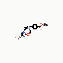 CC(C)(C)OC(=O)c1ccc(CN2CCOc3nc([N+](=O)[O-])cn3CC2(C)C)cc1